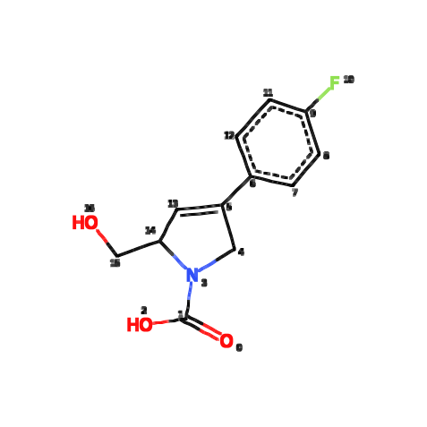 O=C(O)N1CC(c2ccc(F)cc2)=CC1CO